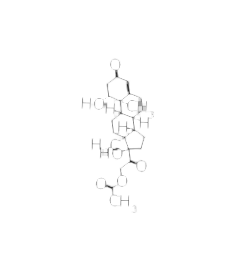 CC(=O)OCC(=O)[C@@]1(O)CC[C@H]2[C@@H]3CCC4=CC(=O)C[C@@H](O)[C@]4(C)[C@H]3CC[C@@]21C